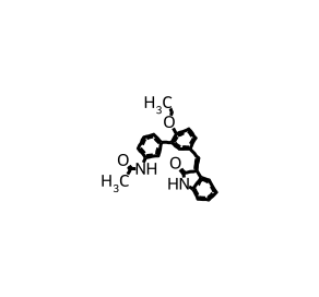 CCOc1ccc(C=C2C(=O)Nc3ccccc32)cc1-c1cccc(NC(C)=O)c1